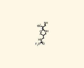 CC(C)(C)/C(C=N)=C1/NCC(CNC(=O)C(F)(F)F)CO1